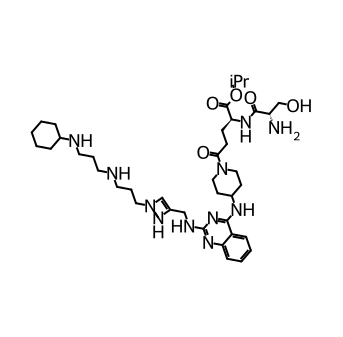 CC(C)OC(=O)[C@H](CCC(=O)N1CCC(Nc2nc(NCc3cn(CCCNCCCNC4CCCCC4)[nH]3)nc3ccccc23)CC1)NC(=O)[C@@H](N)CO